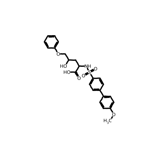 COc1ccc(-c2ccc(S(=O)(=O)NC(CC(O)COc3ccccc3)C(=O)O)cc2)cc1